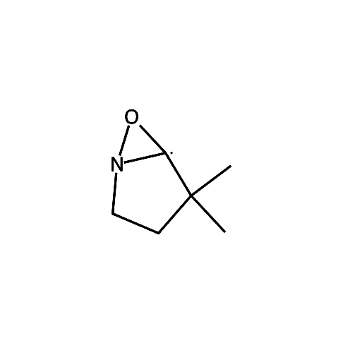 CC1(C)CCN2O[C]21